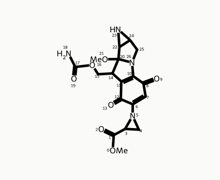 COC(=O)C1CN1C1=CC(=O)C2=C(C1=O)C(COC(N)=O)C1(OC)C3NC3CN21